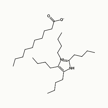 CCCCCCCCCC(=O)[O-].CCCCc1[nH]c(CCCC)[n+](CCCC)c1CCCC